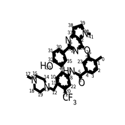 Cc1ccc(C(=O)Nc2ccc(CN3CCN(C)CC3)c(C(F)(F)F)c2)cc1Oc1nc(-c2ccc(O)cc2)nc2ccn(C)c12